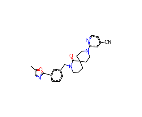 Cc1cnc(-c2cccc(CN3CCCC4(CCN(c5cc(C#N)ccn5)CC4)C3=O)c2)o1